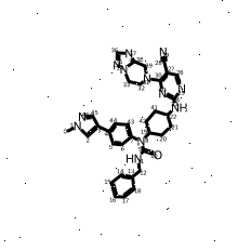 Cn1cc(-c2ccc(N(C(=O)NCc3ccccc3)C3CCC(Nc4ncc(C#N)c(N5CCn6ncnc6C5)n4)CC3)cc2)cn1